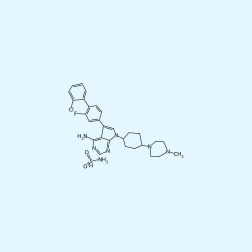 CN1CCN(C2CCC(n3cc(-c4ccc(-c5ccccc5Cl)c(F)c4)c4c(N)ncnc43)CC2)CC1.N[SH](=O)=O